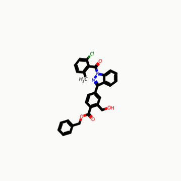 Cc1cccc(Cl)c1C(=O)n1nc(-c2ccc(C(=O)OCc3ccccc3)c(CO)c2)c2ccccc21